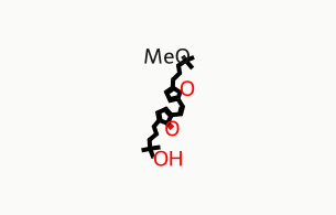 COC(C)(C)CCCC1=CC=C(/C=C\C2=CC=C(CCCC(C)(C)CO)C2=O)C1=O